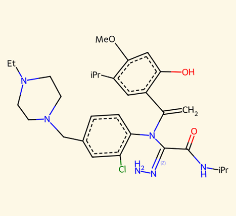 C=C(c1cc(C(C)C)c(OC)cc1O)N(/C(=N\N)C(=O)NC(C)C)c1ccc(CN2CCN(CC)CC2)cc1Cl